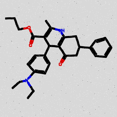 CCCOC(=O)C1=C(C)NC2=C(C(=O)CC(c3ccccc3)C2)C1c1ccc(N(CC)CC)cc1